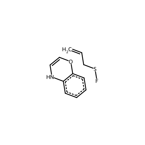 C1=COc2ccccc2N1.C=CCSF